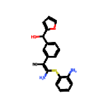 N#C/C(=C(\N)Sc1ccccc1N)c1cccc(C(O)c2ccco2)c1